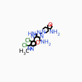 Cn1nc2ccc(-c3n[nH]c4nc(N5CCC6(CC5)COC[C@H]6N)nc(C(N)=O)c34)c(Cl)c2c1Cl